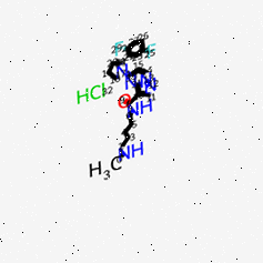 CNCCCCCNC(=O)c1cnn2ccc(N3CCC[C@@H]3c3cc(F)ccc3F)nc12.Cl